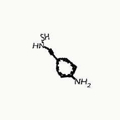 Nc1ccc(C#CNS)cc1